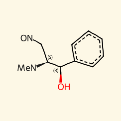 CN[C@@H](CN=O)[C@H](O)c1ccccc1